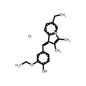 CCOc1cc(/C=C2\C(C)=C(C)[n+]3cc(CC)ccc32)ccc1O.[Cl-]